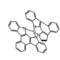 c1ccc2c(c1)c1c3ccccc3n3c1c1c2c2ccccc2n1[Si]31n2c3ccccc3c3c4ccccc4c4c5ccccc5n1c4c32